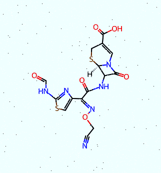 N#CCON=C(C(=O)NC1C(=O)N2C=C(C(=O)O)CS[C@H]12)c1csc(NC=O)n1